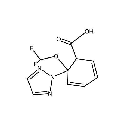 O=C(O)C1C=CC=CC1(OC(F)F)n1nccn1